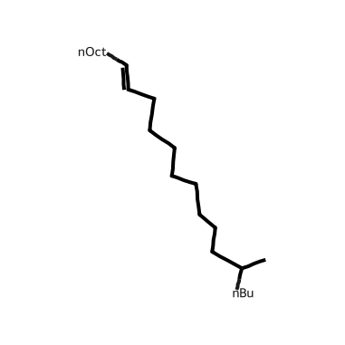 CCCCCCCC/C=C/CCCCCCCCC(C)CCCC